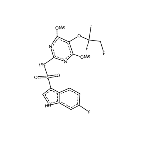 COc1nc(NS(=O)(=O)c2c[nH]c3cc(F)ccc23)nc(OC)c1OC(F)(F)CF